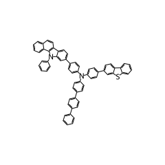 c1ccc(-c2ccc(-c3ccc(N(c4ccc(-c5ccc6c(c5)sc5ccccc56)cc4)c4ccc(-c5ccc6c7ccc8ccccc8c7n(-c7ccccc7)c6c5)cc4)cc3)cc2)cc1